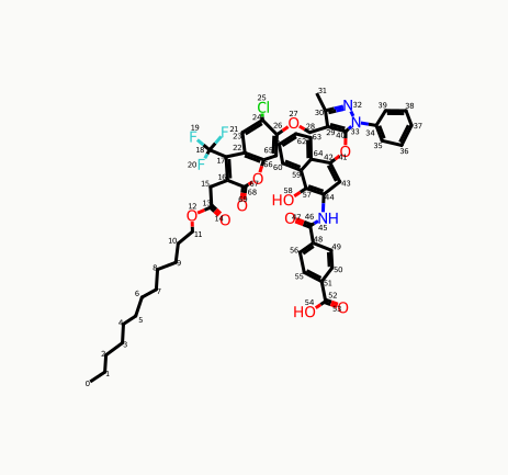 CCCCCCCCCCCCOC(=O)Cc1c(C(F)(F)F)c2cc(Cl)c(OCc3c(C)nn(-c4ccccc4)c3Oc3cc(NC(=O)c4ccc(C(=O)O)cc4)c(O)c4ccccc34)cc2oc1=O